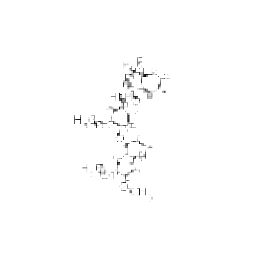 COc1cc2nccc(Oc3ccc(NS(=O)(=O)c4ccccc4C(F)(F)F)cc3OC)c2cc1OC